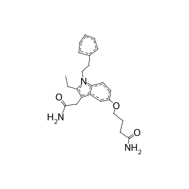 CCc1c(CC(N)=O)c2cc(OCCCC(N)=O)ccc2n1CCc1ccccc1